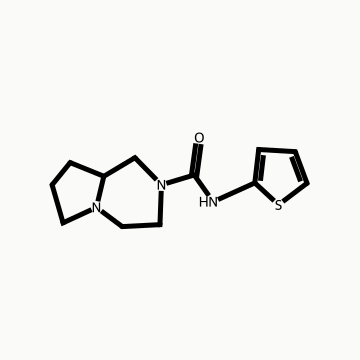 O=C(Nc1cccs1)N1CCN2CCCC2C1